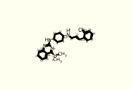 CN(C)c1nc(N[C@H]2CC[C@@H](NC/C=C/c3ccccc3Cl)CC2)nc2ccccc12